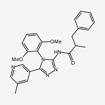 COc1cccc(OC)c1-n1c(NC(=O)C(C)Cc2ccccc2)nnc1-c1cncc(C)c1